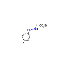 CCOC(=O)CNNc1ccc(C)cc1